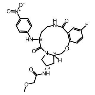 COCC(=O)N[C@H]1C[C@H]2COc3ccc(F)cc3C(=O)NCC[C@H](Nc3ccc([N+](=O)[O-])cc3)C(=O)N2C1